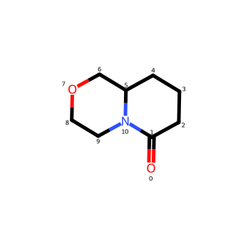 O=C1CCCC2COCCN12